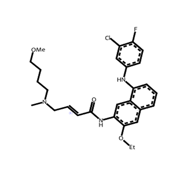 CCOc1cc2cccc(Nc3ccc(F)c(Cl)c3)c2cc1NC(=O)/C=C/CN(C)CCCCOC